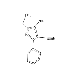 CCn1nc(-c2ccccc2)c(C#N)c1N